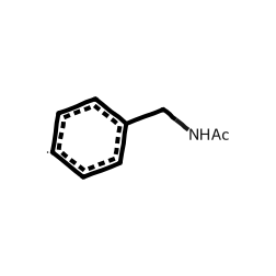 CC(=O)NCc1cc[c]cc1